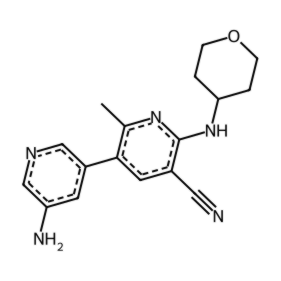 Cc1nc(NC2CCOCC2)c(C#N)cc1-c1cncc(N)c1